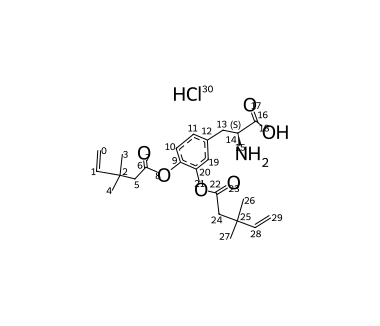 C=CC(C)(C)CC(=O)Oc1ccc(C[C@H](N)C(=O)O)cc1OC(=O)CC(C)(C)C=C.Cl